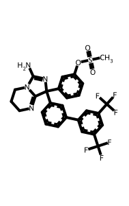 CS(=O)(=O)Oc1cccc(C2(c3cccc(-c4cc(C(F)(F)F)cc(C(F)(F)F)c4)c3)N=C(N)N3CCCN=C32)c1